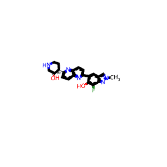 Cn1cc2cc(-c3ccc4nc([C@H]5CCNC[C@@H]5O)ccc4n3)c(O)c(F)c2n1